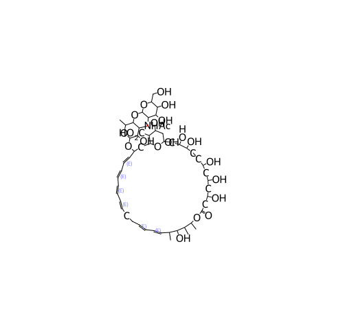 CC(=O)NC1C(OC2C(C)OC(OC3/C=C/C=C/C=C/C=C/CC/C=C/C=C/C(C)C(O)C(C)C(C)OC(=O)CC(O)CC(O)CC(O)CCC(O)C(O)CC4(O)CC(O)C(C(=O)O)C(C3)O4)C(O)C2C)OC(CO)C(O)C1O